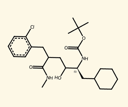 CNC(=O)C(Cc1ccccc1Cl)CC(O)[C@H](CC1CCCCC1)NC(=O)OC(C)(C)C